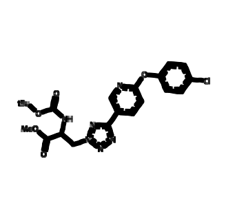 COC(=O)C(Cn1nnc(-c2ccc(Oc3ccc(Cl)cc3)nc2)n1)NC(=O)OC(C)(C)C